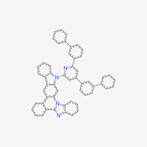 c1ccc(-c2cccc(-c3cc(-c4cccc(-c5ccccc5)c4)nc(-n4c5ccccc5c5cc6c7ccccc7c7nc8ccccc8n7c6cc54)c3)c2)cc1